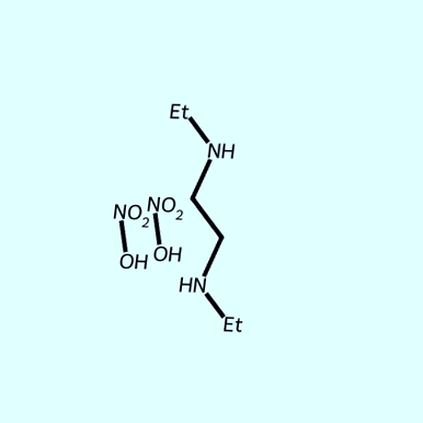 CCNCCNCC.O=[N+]([O-])O.O=[N+]([O-])O